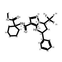 COC(=O)C1(NC(=O)c2cnn3c2NC(c2ccccc2)CC3C(F)(F)F)CCCCC1